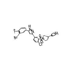 O=S(=O)(c1cc(-c2cc(-c3ccc(F)c(Br)c3)[nH]n2)ccc1Cl)N1CCC(O)CC1